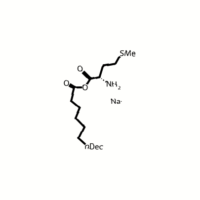 CCCCCCCCCCCCCCCC(=O)OC(=O)[C@@H](N)CCSC.[Na]